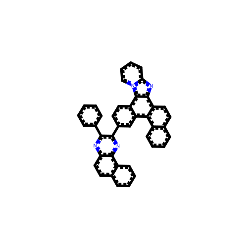 c1ccc(-c2nc3ccc4ccccc4c3nc2-c2ccc3c(c2)c2c4ccccc4ccc2c2nc4ccccn4c32)cc1